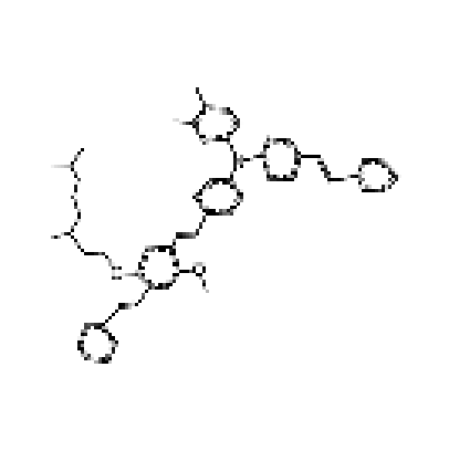 COc1cc(C=Cc2ccccc2)c(OCCC(C)CCCC(C)C)cc1C=Cc1ccc(N(c2ccc(C=Cc3ccccc3)cc2)c2ccc(C)c(C)c2)cc1